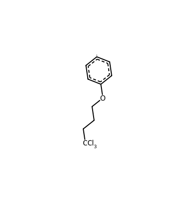 ClC(Cl)(Cl)CCCOc1cc[c]cc1